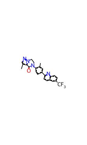 Cc1cc(-c2ccc3cc(C(F)(F)F)ccc3n2)ccc1N1CCn2ncc(C)c2C1=O